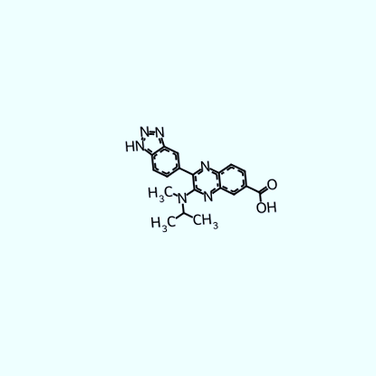 CC(C)N(C)c1nc2cc(C(=O)O)ccc2nc1-c1ccc2[nH]nnc2c1